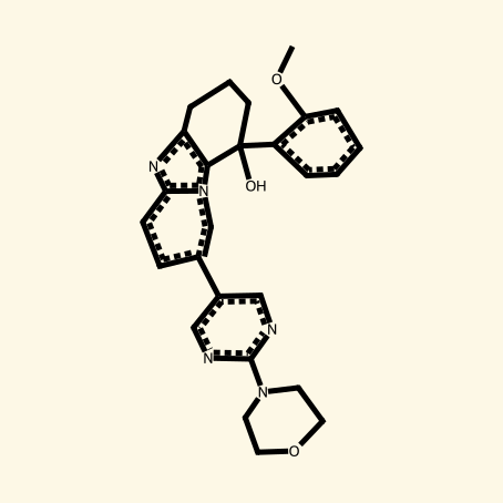 COc1ccccc1C1(O)CCCc2nc3ccc(-c4cnc(N5CCOCC5)nc4)cn3c21